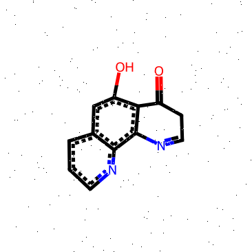 O=C1CC=Nc2c1c(O)cc1cccnc21